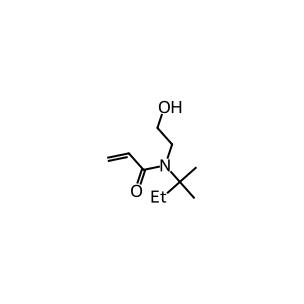 C=CC(=O)N(CCO)C(C)(C)CC